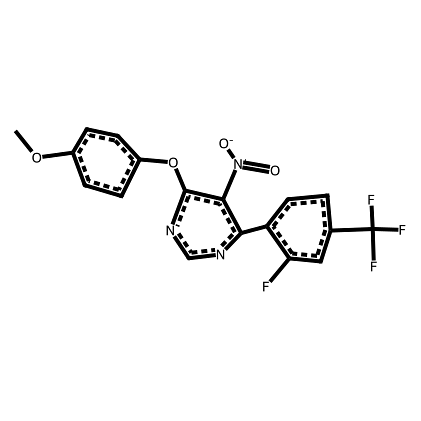 COc1ccc(Oc2ncnc(-c3ccc(C(F)(F)F)cc3F)c2[N+](=O)[O-])cc1